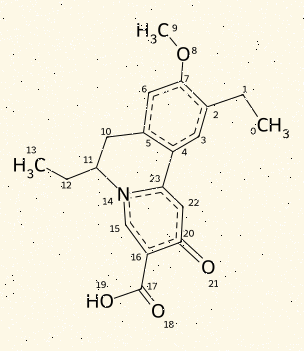 CCc1cc2c(cc1OC)CC(CC)n1cc(C(=O)O)c(=O)cc1-2